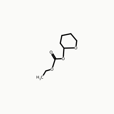 CCOC(=O)OC1CCCCO1